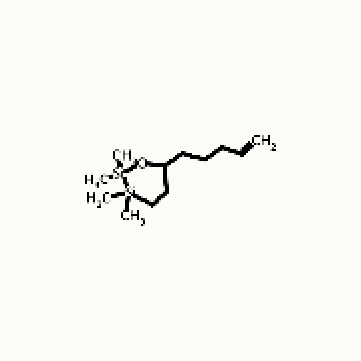 C=CCCCC1CC[Si](C)(C)[Si](C)(C)O1